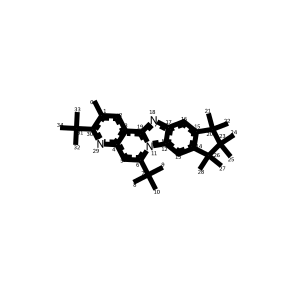 Cc1cc2c(cc(C(C)(C)C)n3c4cc5c(cc4nc23)C(C)(C)C(C)(C)C5(C)C)nc1C(C)(C)C